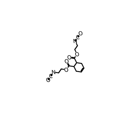 O=C=NCCOC(=O)C1CC=CCC1C(=O)OCCN=C=O